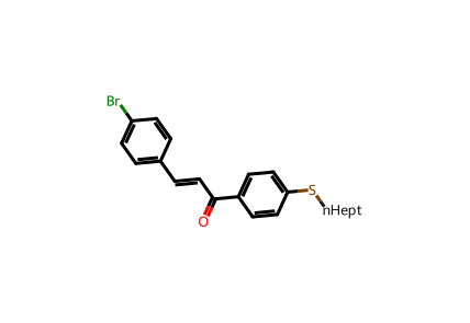 CCCCCCCSc1ccc(C(=O)/C=C/c2ccc(Br)cc2)cc1